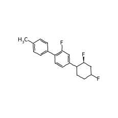 Cc1ccc(-c2ccc(C3CCC(F)C[C@@H]3F)cc2F)cc1